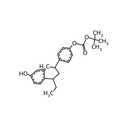 CCC(CC(C)c1ccc(OC(=O)OC(C)(C)C)cc1)c1ccc(O)cc1